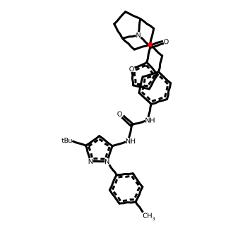 Cc1ccc(-n2nc(C(C)(C)C)cc2NC(=O)Nc2ccc(CC3CC4CCC(C3)N4C(=O)c3ccco3)cc2)cc1